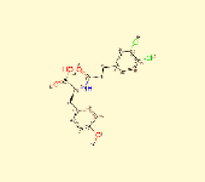 COc1ccc(C[C@H](NC(=O)CCc2ccc(Cl)c(Cl)c2)C(=O)O)cc1